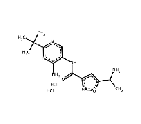 CC(N)c1cc(C(=O)Nc2cnc(C(C)(C)C)nc2N)no1.Cl.Cl